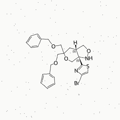 Brc1csc([C@@]23COC(COCc4ccccc4)(COCc4ccccc4)C[C@@H]2CON3)n1